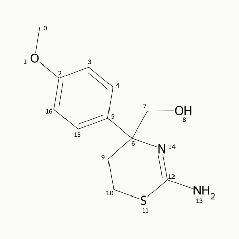 COc1ccc(C2(CO)CCSC(N)=N2)cc1